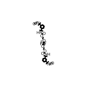 CC(C)(N=C=O)c1cccc(C(C)(C)NC(=O)OCCOC(F)(F)C(F)(F)OCCOC(=O)NC(C)(C)c2cccc(C(C)(C)N=C=O)c2)c1